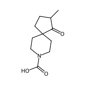 CC1CCC2(CCN(C(=O)O)CC2)C1=O